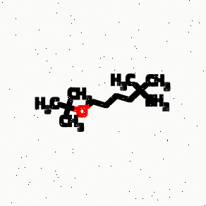 BC(C)(C)CCCCOC(C)(C)C